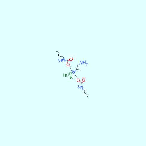 CCCCNC(=O)OCCN(CCOC(=O)NCCCC)C(C)CN.Cl.Cl